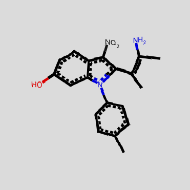 CC(N)=C(C)c1c([N+](=O)[O-])c2ccc(O)cc2n1-c1ccc(C)cc1